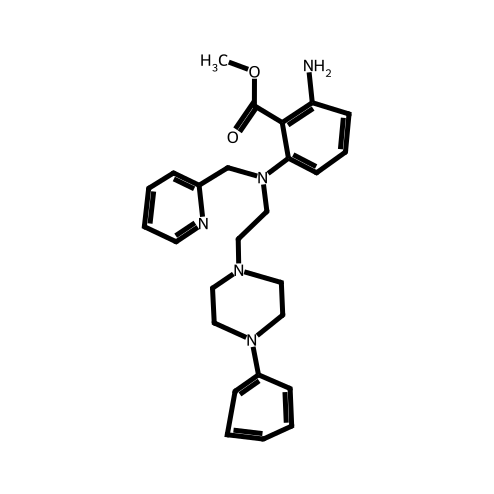 COC(=O)c1c(N)cccc1N(CCN1CCN(c2ccccc2)CC1)Cc1ccccn1